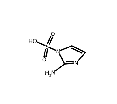 Nc1nccn1S(=O)(=O)O